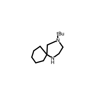 CC(C)(C)N1CCNC2(CCCCC2)C1